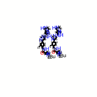 Cc1cc(-c2cc(Nc3cc4n(n3)CCNC4)ncn2)ccc1CNC(=O)c1cnn(C(C)(C)C)c1.Cc1cc(-c2cc(Nc3cc4n(n3)CCNC4)ncn2)ccc1CNC(=O)c1cnn(C(C)(C)C)c1